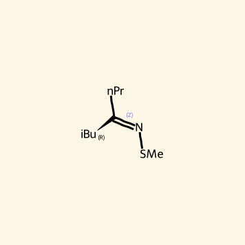 CCC/C(=N/SC)[C@H](C)CC